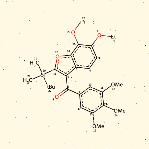 CCOc1ccc2c(C(=O)c3cc(OC)c(OC)c(OC)c3)c([Si](C)(C)C(C)(C)C)oc2c1OC(C)C